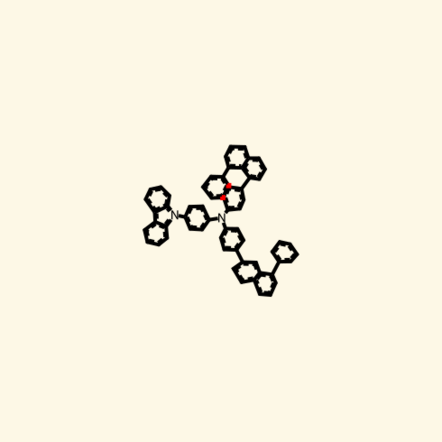 c1ccc(-c2cccc3ccc(-c4ccc(N(c5ccc(-c6cccc7cccc(-c8ccccc8)c67)cc5)c5ccc(-n6c7ccccc7c7ccccc76)cc5)cc4)cc23)cc1